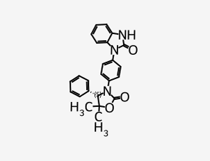 CC1(C)OC(=O)N(c2ccc(-n3c(=O)[nH]c4ccccc43)cc2)[C@H]1c1ccccc1